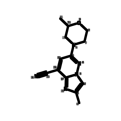 Cc1cn2nc(N3CCOC(C)C3)cc(C#N)c2n1